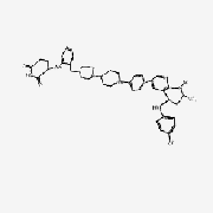 CC(=O)N1c2ccc(-c3ccc(N4CCC(N5CCN(Cc6ccccc6NC6CCC(=O)NC6=O)CC5)CC4)cc3)cc2C(Nc2ccc(Cl)cc2)CC1C